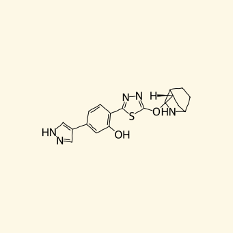 Oc1cc(-c2cn[nH]c2)ccc1-c1nnc(O[C@H]2CC3CCC2CN3)s1